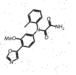 COc1cc(N(C(=O)C(N)=O)c2ccccc2C)ccc1-c1cnco1